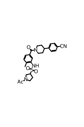 CC(=O)N1CCC(S(=O)(=O)Nc2cc(C(=O)N3CCC(c4ccc(C#N)cc4)CC3)ccc2C)C1